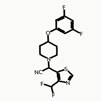 N#CC(c1scnc1C(F)F)N1CCC(Oc2cc(F)cc(F)c2)CC1